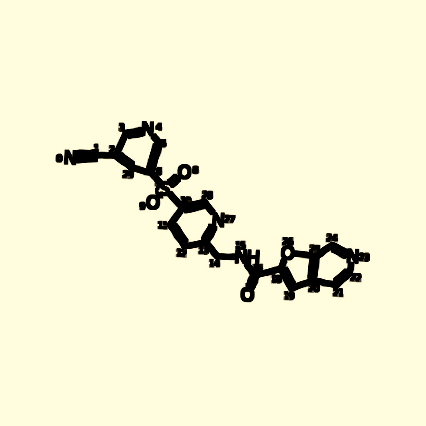 N#Cc1cncc(S(=O)(=O)c2ccc(CNC(=O)c3cc4ccncc4o3)nc2)c1